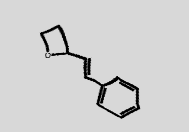 C(=C\C1CCO1)/c1ccccc1